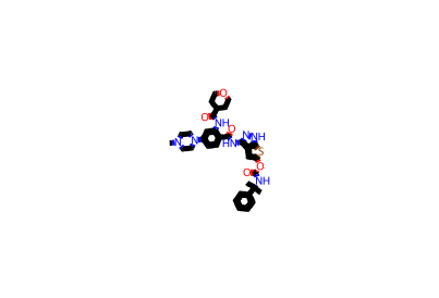 CN1CCN(c2ccc(C(=O)Nc3n[nH]c4sc(OC(=O)NC(C)(C)c5ccccc5)cc34)c(NC(=O)C3CCOCC3)c2)CC1